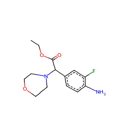 CCOC(=O)C(c1ccc(N)c(F)c1)N1CCOCC1